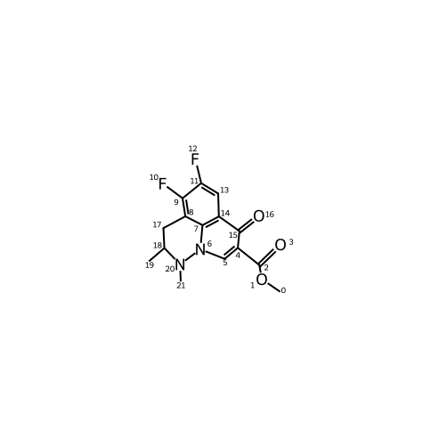 COC(=O)c1cn2c3c(c(F)c(F)cc3c1=O)CC(C)N2C